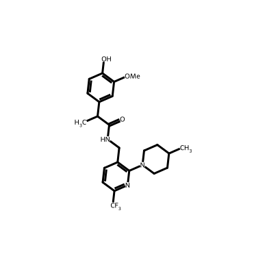 COc1cc(C(C)C(=O)NCc2ccc(C(F)(F)F)nc2N2CCC(C)CC2)ccc1O